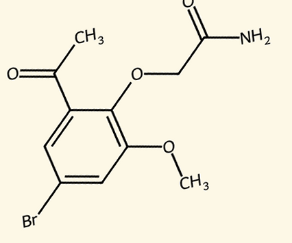 COc1cc(Br)cc(C(C)=O)c1OCC(N)=O